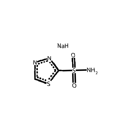 NS(=O)(=O)c1nncs1.[NaH]